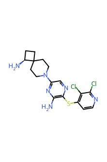 Nc1nc(N2CCC3(CC[C@@H]3N)CC2)cnc1Sc1ccnc(Cl)c1Cl